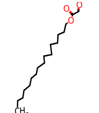 CCCCCCCCCCCCCCCCOC(=O)C=O